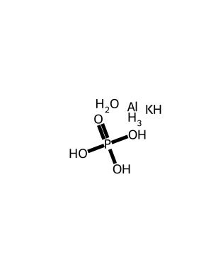 O.O=P(O)(O)O.[AlH3].[KH]